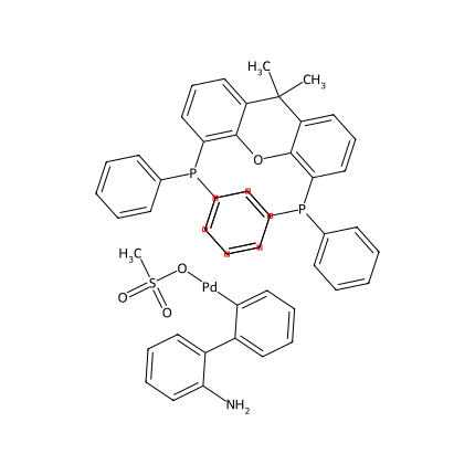 CC1(C)c2cccc(P(c3ccccc3)c3ccccc3)c2Oc2c(P(c3ccccc3)c3ccccc3)cccc21.CS(=O)(=O)[O][Pd][c]1ccccc1-c1ccccc1N